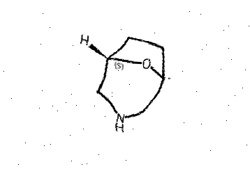 C1C[C@H]2CNC[C]1O2